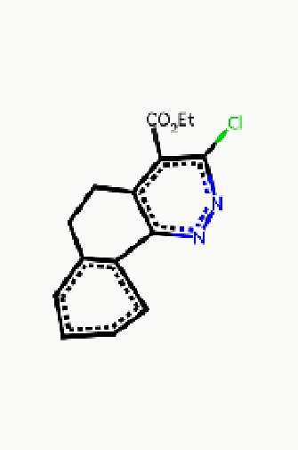 CCOC(=O)c1c(Cl)nnc2c1CCc1ccccc1-2